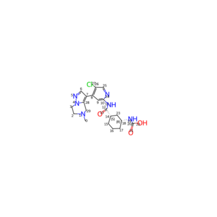 CN1CCn2ncc(-c3cc(NC(=O)[C@H]4CCC[C@@H](NC(=O)O)C4)ncc3Cl)c2C1